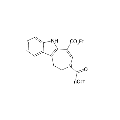 CCCCCCCCC(=O)N1C=C(C(=O)OCC)c2[nH]c3ccccc3c2CC1